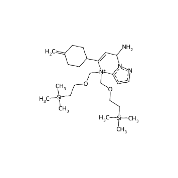 C=C1CCC(C2=CC(N)n3nccc3[N+]2(COCC[Si](C)(C)C)COCC[Si](C)(C)C)CC1